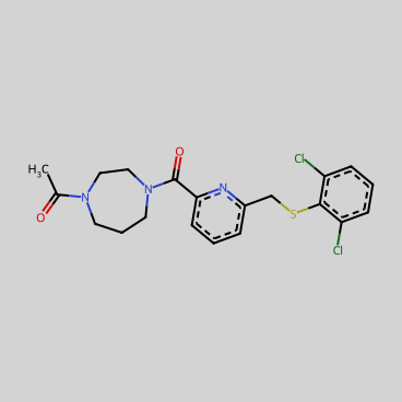 CC(=O)N1CCCN(C(=O)c2cccc(CSc3c(Cl)cccc3Cl)n2)CC1